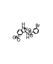 O=[N+]([O-])c1ccc2[nH]nc(NS(=O)(=O)c3cccc(Br)c3)c2c1